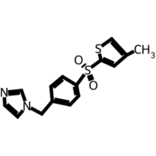 Cc1csc(S(=O)(=O)c2ccc(Cn3ccnc3)cc2)c1